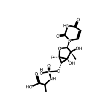 CC(NP(=O)(O)O[C@H]1[C@]2(O)[C@@](C)(O)[C@H](n3ccc(=O)[nH]c3=O)O[C@]12F)C(=O)O